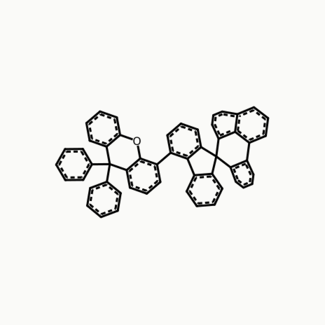 c1ccc(C2(c3ccccc3)c3ccccc3Oc3c(-c4cccc5c4-c4ccccc4C54c5ccccc5-c5cccc6cccc4c56)cccc32)cc1